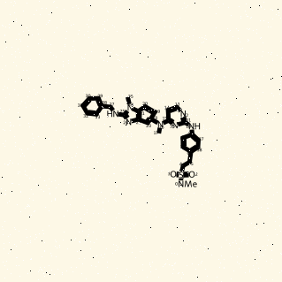 CNS(=O)(=O)CCc1ccc(Nc2nccc(N(C)c3ccc4c(c3)nc(NCc3ccccc3)n4C)n2)cc1